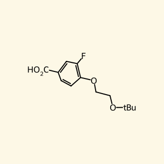 CC(C)(C)OCCOc1ccc(C(=O)O)cc1F